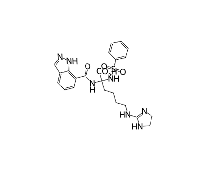 O=C(NC(CCCCNC1=NCCN1)(NS(=O)(=O)c1ccccc1)C(=O)O)c1cccc2cn[nH]c12